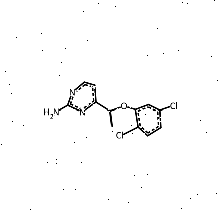 CC(Oc1cc(Cl)ccc1Cl)c1ccnc(N)n1